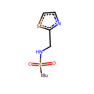 CC(C)(C)S(=O)(=O)N[CH]c1nccs1